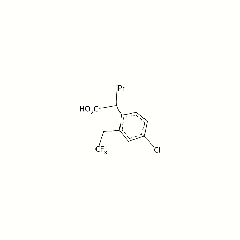 CC(C)C(C(=O)O)c1ccc(Cl)cc1CC(F)(F)F